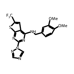 COc1ccc(CNc2nc(-n3cncn3)nc3sc(C(F)(F)F)cc23)cc1OC